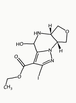 CCOC(=O)c1c(I)nn2c1C(O)N[C@@H]1COC[C@@H]12